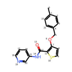 Cc1ccc(COc2ccsc2C(=O)Nc2cccnc2)cc1